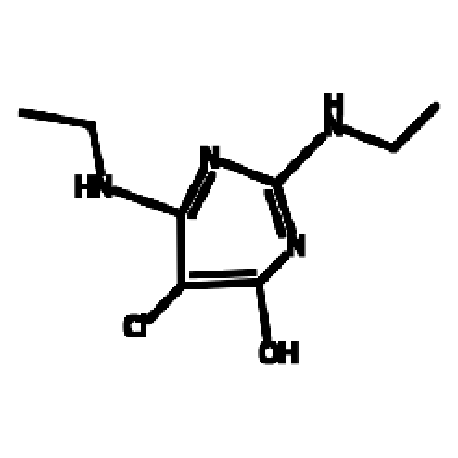 CCNc1nc(O)c(Cl)c(NCC)n1